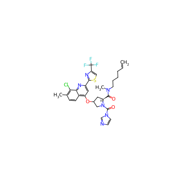 C=CCCCCN(C)C(=O)[C@@H]1CC(Oc2cc(-c3nc(C(F)(F)F)cs3)nc3c(Cl)c(C)ccc23)CN1C(=O)n1ccnc1